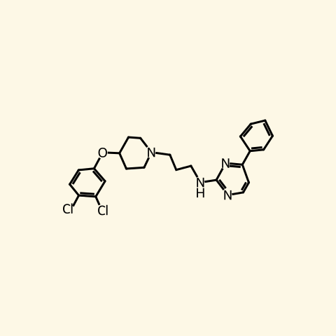 Clc1ccc(OC2CCN(CCCNc3nccc(-c4ccccc4)n3)CC2)cc1Cl